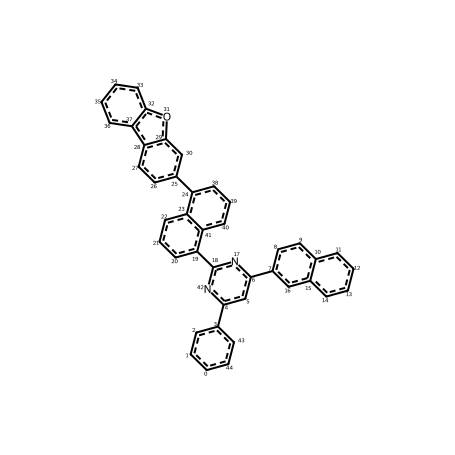 c1ccc(-c2cc(-c3ccc4ccccc4c3)nc(-c3cccc4c(-c5ccc6c(c5)oc5ccccc56)cccc34)n2)cc1